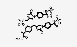 COC(=O)C(C)N1CCN(CC2CN(c3ccc(C(=N)NS(C)(=O)=O)cc3)C(=O)O2)CC1.CS(=O)(=O)NC(=N)c1ccc(N2CC(COS(C)(=O)=O)OC2=O)cc1